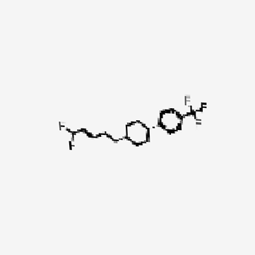 FC(F)/C=C/CC[C@H]1CC[C@H](c2ccc(C(F)(F)F)cc2)CC1